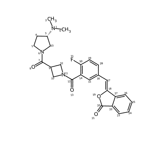 CN(C)[C@H]1CCN(C(=O)C2CN(C(=O)c3cc(/C=C4\OC(=O)c5ccccc54)ccc3F)C2)C1